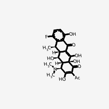 CC(=O)C1=C(O)[C@@H](N(C)C)[C@@H]2[C@@H](O)[C@H]3C(=C(O)[C@]2(O)C1=O)C(=O)c1c(O)ccc(F)c1[C@@H]3C